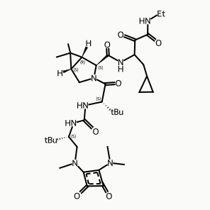 CCNC(=O)C(=O)C(CC1CC1)NC(=O)[C@@H]1[C@@H]2[C@H](CN1C(=O)[C@@H](NC(=O)N[C@H](CN(C)c1c(N(C)C)c(=O)c1=O)C(C)(C)C)C(C)(C)C)C2(C)C